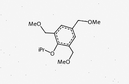 COCc1cc(COC)c(OC(C)C)c(COC)c1